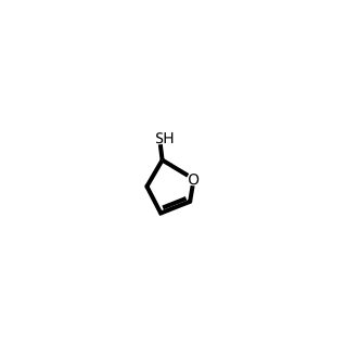 SC1CC=CO1